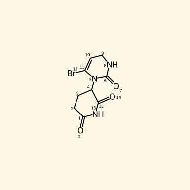 O=C1CCC(N2C(=O)NCC=C2Br)C(=O)N1